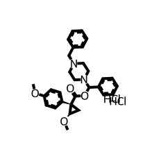 COc1ccc([C@@]2(C(=O)OC(c3ccccc3)N3CCN(Cc4ccccc4)CC3)C[C@@H]2OC)cc1.Cl.Cl